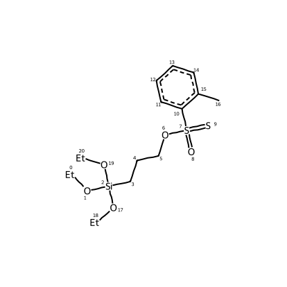 CCO[Si](CCCOS(=O)(=S)c1ccccc1C)(OCC)OCC